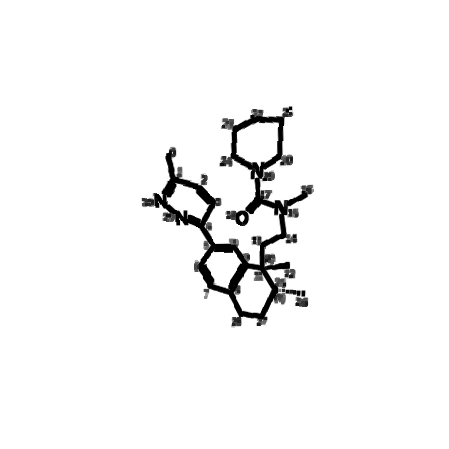 Cc1ccc(-c2ccc3c(c2)[C@](C)(CCN(C)C(=O)N2CCCCC2)[C@H](C)CC3)nn1